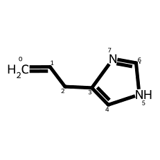 C=CCc1c[nH][c]n1